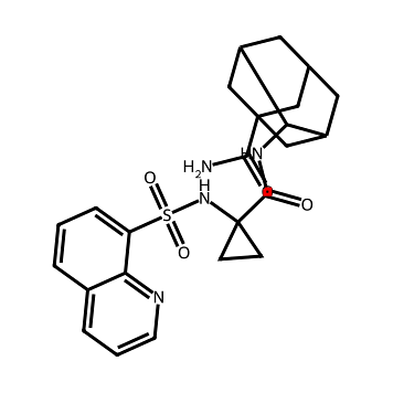 NC(=O)C12CC3CC(C1)C(NC(=O)C1(NS(=O)(=O)c4cccc5cccnc45)CC1)C(C3)C2